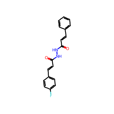 O=C(C=Cc1ccccc1)NNC(=O)/C=C/c1ccc(F)cc1